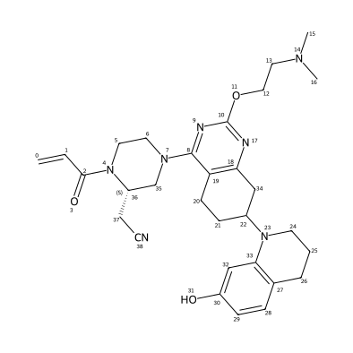 C=CC(=O)N1CCN(c2nc(OCCN(C)C)nc3c2CCC(N2CCCc4ccc(O)cc42)C3)C[C@@H]1CC#N